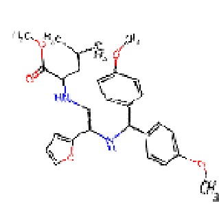 COC(=O)C(CC(C)C)NCC(NC(c1ccc(OC)cc1)c1ccc(OC)cc1)c1ccco1